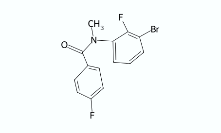 CN(C(=O)c1ccc(F)cc1)c1cccc(Br)c1F